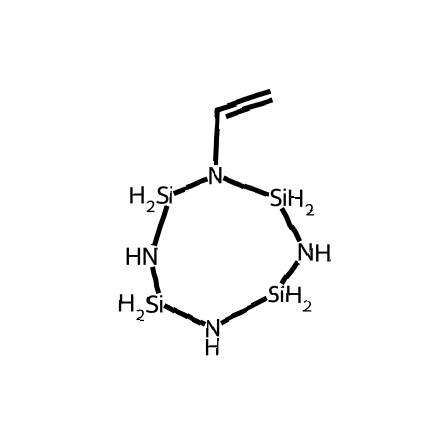 C=CN1[SiH2]N[SiH2]N[SiH2]N[SiH2]1